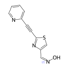 O/N=C\c1csc(C#Cc2ccccn2)n1